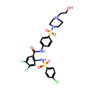 O=C(Nc1ccc(S(=O)(=O)N2CCN(CCO)CC2)cc1)c1cc(F)c(F)cc1NS(=O)(=O)c1ccc(Cl)cc1